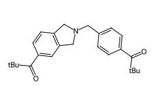 CC(C)(C)C(=O)c1ccc(CN2Cc3ccc(C(=O)C(C)(C)C)cc3C2)cc1